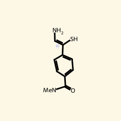 CNC(=O)c1ccc(/C(S)=C/N)cc1